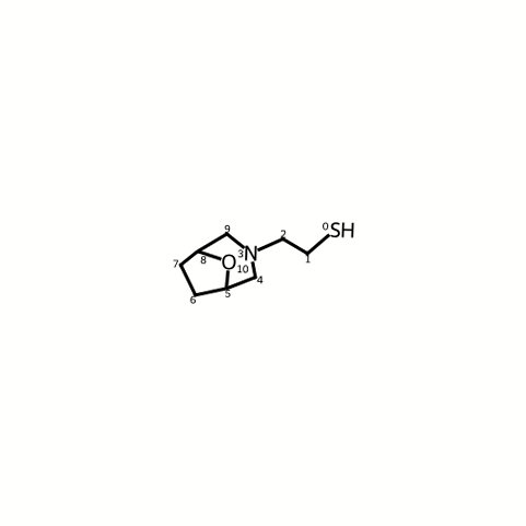 SCCN1CC2CCC(C1)O2